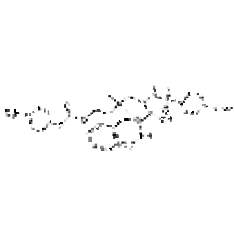 COc1ccc(S(=O)(=O)NC(CC(C)(C)CCOC(=O)Oc2ccc([N+](=O)[O-])cc2)[C@H](O)[C@H](Cc2ccccc2)NC(=O)O)cc1